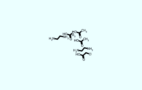 CC(=O)O.CC(=O)O.CC(=O)O.NCCN.NCCN.O=C(O)CCl